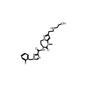 CN1C(=O)[C@@H](NC(=O)c2ncn(Cc3ccccc3F)n2)CCn2nc(CCNCCO)cc21